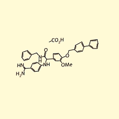 CC(=O)O.COc1cc(C(Nc2ccc(C(=N)N)cc2)C(=O)NCc2ccccc2)ccc1OCc1ccc(-c2ccccc2)cc1